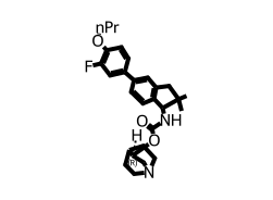 CCCOc1ccc(-c2ccc3c(c2)CC(C)(C)C3NC(=O)O[C@H]2CN3CCC2CC3)cc1F